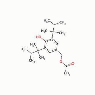 CC(=O)OCc1cc(C(C)(C)C(C)C)c(O)c(C(C)(C)C(C)C)c1